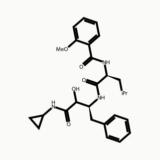 COc1ccccc1C(=O)N[C@@H](CC(C)C)C(=O)N[C@@H](Cc1ccccc1)C(O)C(=O)NC1CC1